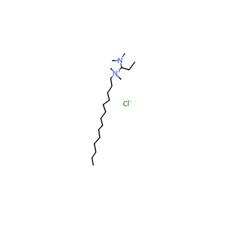 CCCCCCCCCCCCCC[N+](C)(C)C(CC)N(C)C.[Cl-]